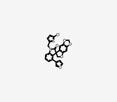 O=C1N(Cc2ccc(Cl)s2)c2cccc(-c3ccoc3)c2C12COc1cc3c(cc12)OCO3